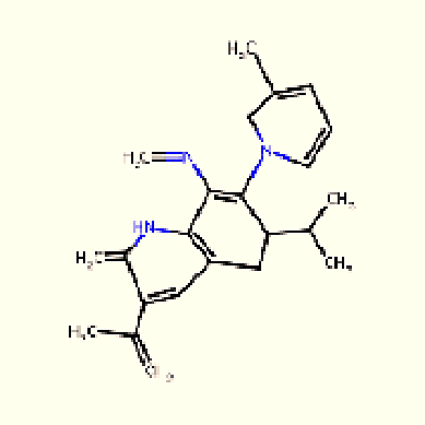 C=NC1=C(N2C=CC=C(C)C2)C(C(C)C)CC2=C1NC(=C)C(C(=C)C)=C2